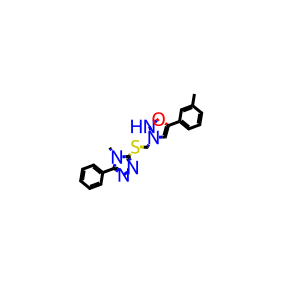 Cc1cccc(C2=CN(CSc3nnc(-c4ccccc4)n3C)NO2)c1